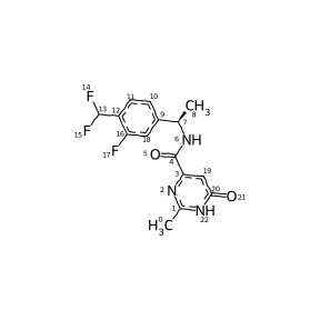 Cc1nc(C(=O)N[C@H](C)c2ccc(C(F)F)c(F)c2)cc(=O)[nH]1